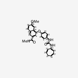 CNC(=O)c1cc(Oc2ccc(NC(=O)NC3=CC=CCC=C3)cc2)c2cc(OC)ccc2n1